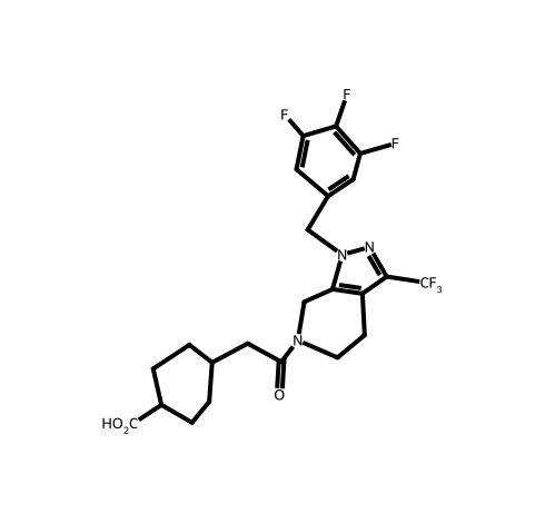 O=C(O)C1CCC(CC(=O)N2CCc3c(C(F)(F)F)nn(Cc4cc(F)c(F)c(F)c4)c3C2)CC1